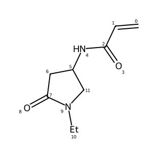 C=CC(=O)NC1CC(=O)N(CC)C1